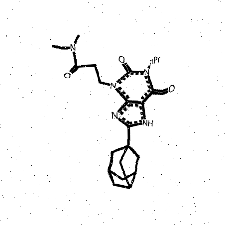 CCCn1c(=O)c2[nH]c(C34CC5CC(C3)C(C5)C4)nc2n(CCC(=O)N(C)C)c1=O